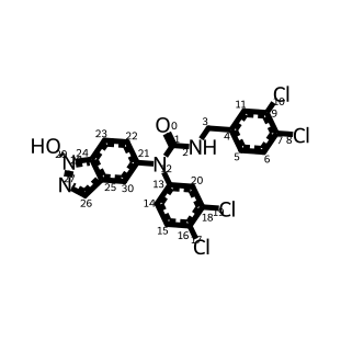 O=C(NCc1ccc(Cl)c(Cl)c1)N(c1ccc(Cl)c(Cl)c1)c1ccc2c(cnn2O)c1